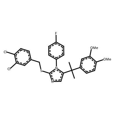 COc1ccc(C(C)(C)c2cnc(SCc3ccc(Cl)c(Cl)c3)n2-c2ccc(F)cc2)cc1OC